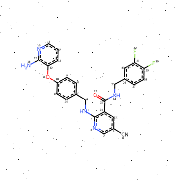 N#Cc1cnc(NCc2ccc(Oc3cccnc3N)cc2)c(C(=O)NCc2ccc(F)c(F)c2)c1